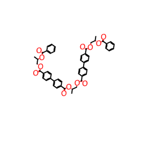 CC(COC(=O)c1ccc(-c2ccc(C(=O)OCC(C)OC(=O)c3ccc(-c4ccc(C(=O)OCC(C)OC(=O)c5ccccc5)cc4)cc3)cc2)cc1)OC(=O)c1ccccc1